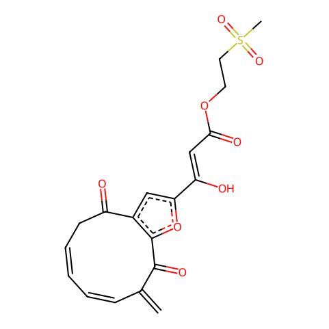 C=C1/C=C\C=C/CC(=O)c2cc(/C(O)=C/C(=O)OCCS(C)(=O)=O)oc2C1=O